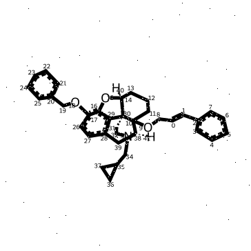 C(=Cc1ccccc1)COC12CCC[C@@H]3Oc4c(OCc5ccccc5)ccc5c4[C@@]31CCN(CC1CC1)[C@@H]2C5